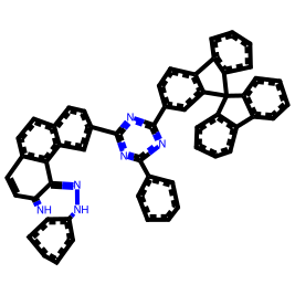 N=C1C=Cc2ccc3ccc(-c4nc(-c5ccccc5)nc(-c5ccc6c(c5)C5(c7ccccc7-c7ccccc75)c5ccccc5-6)n4)cc3c2/C1=N/Nc1ccccc1